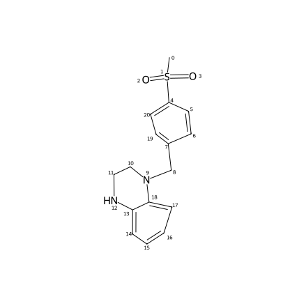 CS(=O)(=O)c1ccc(CN2CCNc3ccccc32)cc1